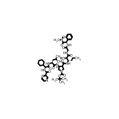 CCC[C@H](NC(=O)C1CN(C(=O)OC(C)(C)C)CC1NC(=O)[C@H](CC(C)C)NC(=O)[C@@H](NC(=O)c1cnccn1)C1CCCCC1)C(O)C(=O)NCC(=O)N[C@H](C(=O)N(C)C)c1ccccc1